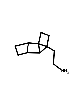 NCCC12CCC13C1CCC1C23